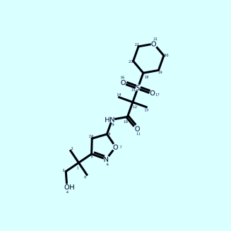 CC(C)(CO)C1=NOC(NC(=O)C(C)(C)S(=O)(=O)C2CCOCC2)C1